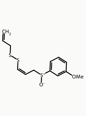 C=CCSS/C=C\C[S+]([O-])c1cccc(OC)c1